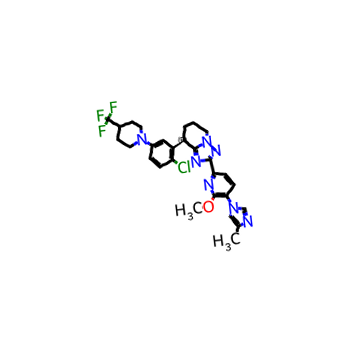 COc1nc(-c2nc3n(n2)CCC[C@@H]3c2cc(N3CCC(C(F)(F)F)CC3)ccc2Cl)ccc1-n1cnc(C)c1